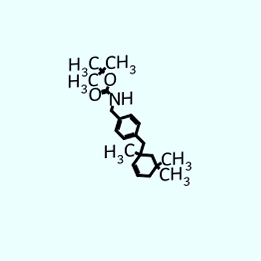 CC1(C)CC=CC(C)(Cc2ccc(CNC(=O)OC(C)(C)C)cc2)C1